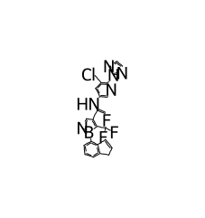 C=C(Nc1cnc(-n2nccn2)c(Cl)c1)C1=C(C(F)(F)F)B(c2cccc3c2C=CC3)N=C1